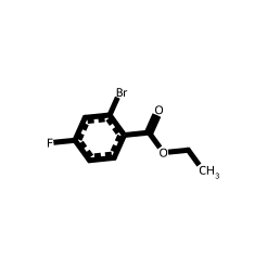 CCOC(=O)c1ccc(F)cc1Br